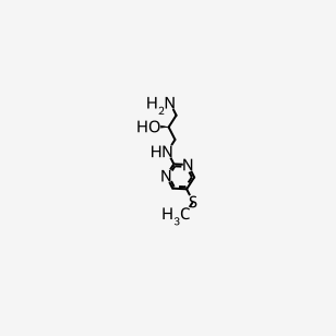 CSc1cnc(NC[C@@H](O)CN)nc1